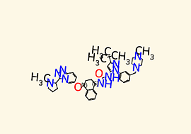 CN1CCN(Cc2cccc(-n3nc(C(C)(C)C)cc3NC(=O)N[C@H]3CC[C@@H](Oc4ccc5nnc(C6CCCN6C)n5c4)c4ccccc43)c2)CC1